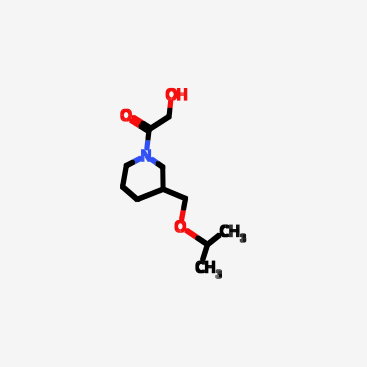 CC(C)OCC1CCCN(C(=O)CO)C1